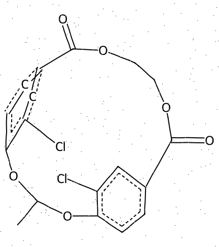 CC1Oc2ccc(cc2Cl)C(=O)OCCOC(=O)c2ccc(c(Cl)c2)O1